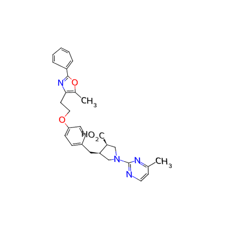 Cc1ccnc(N2C[C@@H](Cc3ccc(OCCc4nc(-c5ccccc5)oc4C)cc3)[C@@H](C(=O)O)C2)n1